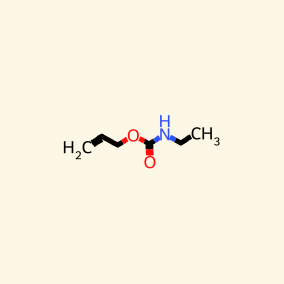 C=CCOC(=O)NCC